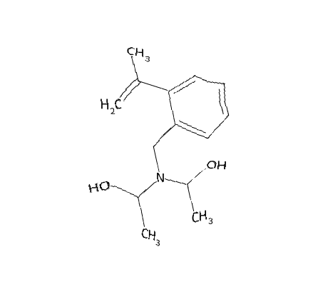 C=C(C)c1ccccc1CN(C(C)O)C(C)O